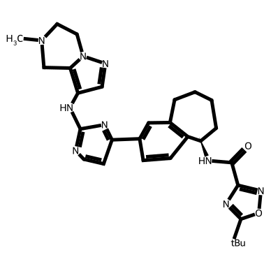 CN1CCn2ncc(Nc3nccc(-c4ccc5c(c4)CCCC[C@H]5NC(=O)c4noc(C(C)(C)C)n4)n3)c2C1